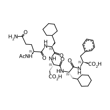 CC(=O)N[C@@H](CCC(N)=O)C(=O)N[C@@H](CC1CCCCC1)C(=O)N[C@@H](CC(=O)O)C(=O)N[C@@H](CC1CCCCC1)C(=O)N[C@@H](Cc1ccccc1)C(=O)O